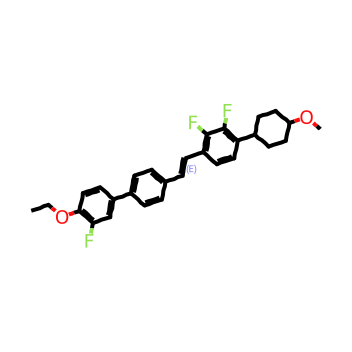 CCOc1ccc(-c2ccc(/C=C/c3ccc(C4CCC(OC)CC4)c(F)c3F)cc2)cc1F